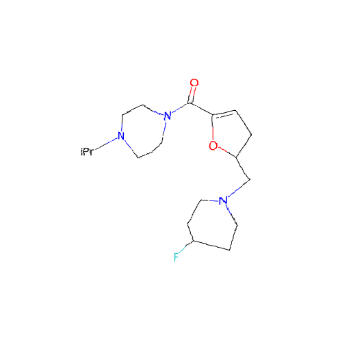 CC(C)N1CCN(C(=O)C2=CCC(CN3CCC(F)CC3)O2)CC1